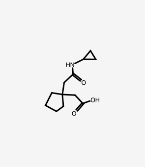 O=C(O)CC1(CC(=O)NC2CC2)CCCC1